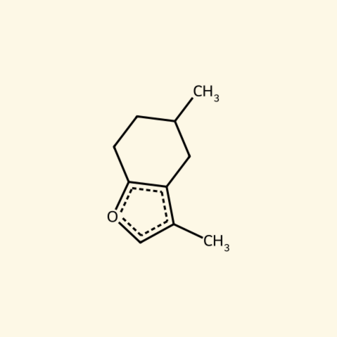 Cc1coc2c1CC(C)CC2